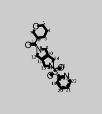 O=C([C@@H]1CCCOC1)N1CC2=C(C1)CN(S(=O)(=O)c1ccccn1)C2